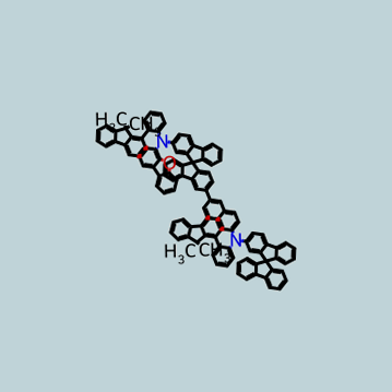 CC1(C)c2ccccc2-c2cccc(-c3ccccc3N(c3ccc4c(c3)C3(c5ccccc5-c5ccccc53)c3ccccc3-4)c3ccc4cc(-c5ccc6c(c5)-c5ccccc5C65c6ccccc6-c6ccc(N(c7ccccc7-c7cccc8c7C(C)(C)c7ccccc7-8)c7cccc8c7oc7ccccc78)cc65)ccc4c3)c21